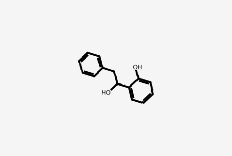 O[C](Cc1ccccc1)c1ccccc1O